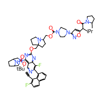 C#Cc1c(F)ccc2cccc(-c3ncc4c(N5CC6CCC(C5)N6C(=O)OC(C)(C)C)nc(OCC56CCCN5C(COC(=O)N5CCN(c7cc(C(C(=O)N8CCCC8C)C(C)C)on7)CC5)CC6)nc4c3F)c12